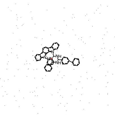 c1ccc(-c2ccc(C3NC(c4ccccc4)NC(n4c5ccccc5c5ccc6c7ccccc7n(-c7ccccc7)c6c54)N3)cc2)cc1